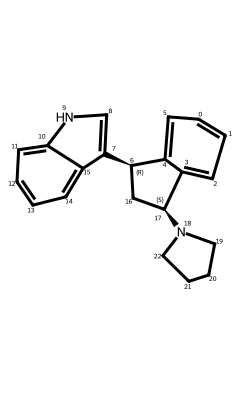 c1ccc2c(c1)[C@H](c1c[nH]c3ccccc13)C[C@@H]2N1CCCC1